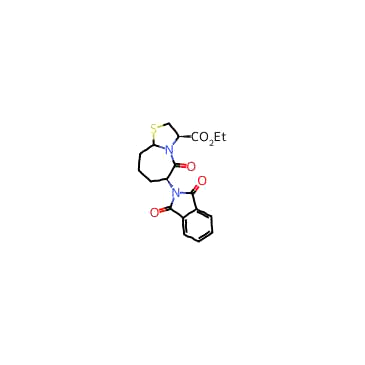 CCOC(=O)[C@@H]1CSC2CCC[C@H](N3C(=O)c4ccccc4C3=O)C(=O)N21